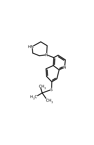 CC(C)(C)Sc1ccc2c(N3CCNCC3)ccnc2c1